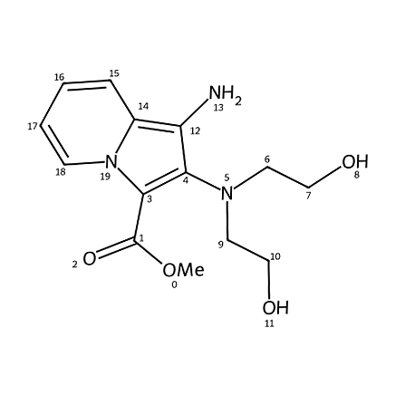 COC(=O)c1c(N(CCO)CCO)c(N)c2ccccn12